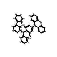 c1ccc2c(c1)Cc1ccccc1N2c1cc2c3c(c1)-n1c4ccccc4c4cccc(c41)B3c1ccccc1O2